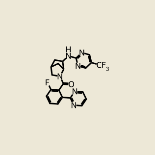 O=C(c1c(F)cccc1-c1ncccn1)N1CC2CC(Nc3ncc(C(F)(F)F)cn3)C1C2